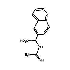 N=C(N)NC(C(=O)O)c1ccc2ncccc2c1